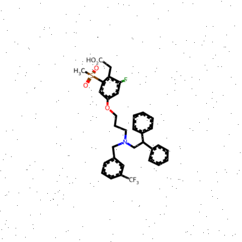 CS(=O)(=O)c1cc(OCCCN(Cc2cccc(C(F)(F)F)c2)CC(c2ccccc2)c2ccccc2)cc(F)c1CC(=O)O